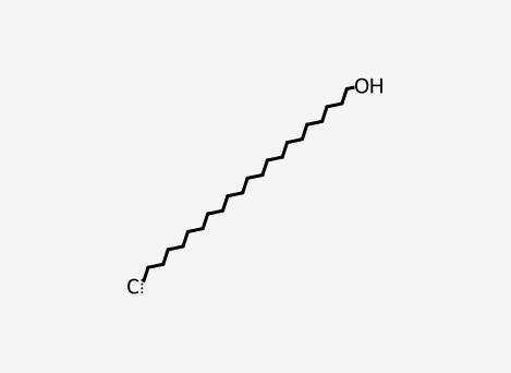 CCCCCCCCCCCCCCCCCCCCCCO.[C]